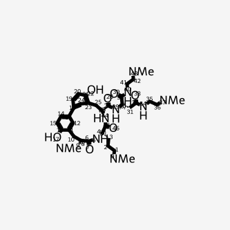 CNCCC[C@@H]1NC(=O)[C@@H](NC)Cc2cc(ccc2O)-c2ccc(O)c(c2)C[C@@H](C(=O)N[C@@H](CC(=O)NCCNC)C(=O)NCCNC)NC1=O